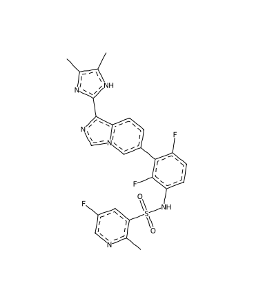 Cc1ncc(F)cc1S(=O)(=O)Nc1ccc(F)c(-c2ccc3c(-c4nc(C)c(C)[nH]4)ncn3c2)c1F